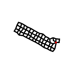 C1CC2C1C1CC3C4CC5C6C7C8C9C%10C%11C%12C%13C%14C%15C%16CC%17C%18CC%19C%20C%21C%22C%23C%24C%25C%26C%27C%28C1C1%29C23C45C61C71C%28%29C%272C81C91C%262C%252C%243C%234C%225C%216C%207C%18%19C%17%16C%157C%146C%135C%124C%113C%1012